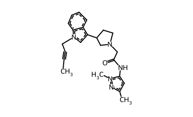 CC#CCn1cc(C2CCN(CC(=O)Nc3cc(C)nn3C)C2)c2ccccc21